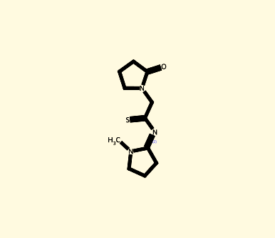 CN1CCC/C1=N/C(=S)CN1CCCC1=O